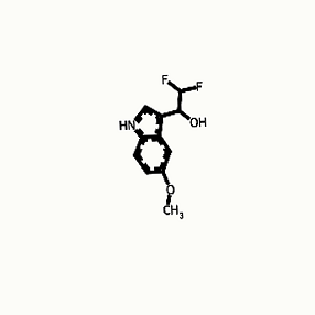 COc1ccc2[nH]cc(C(O)C(F)F)c2c1